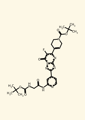 CC(C)(C)OC(=O)NCC(=O)Nc1cc(-c2nn3c(=O)c(F)c(C4=CCN(C(=O)OC(C)(C)C)CC4)nc3s2)ccn1